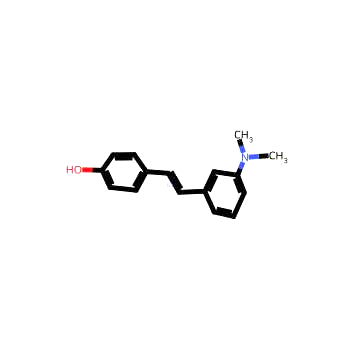 CN(C)c1cccc(/C=C/c2ccc(O)cc2)c1